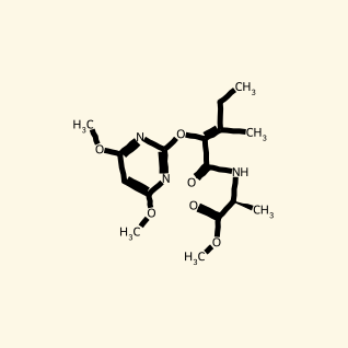 CCC(C)=C(Oc1nc(OC)cc(OC)n1)C(=O)N[C@@H](C)C(=O)OC